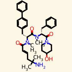 CN(C(=O)/C=C/CC(C)(C)N)[C@H](Cc1ccc(-c2ccccc2)cc1)C(=O)N(C)[C@H](Cc1ccccc1)C(=O)N1CCC(O)CC1